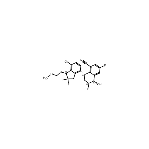 COCO[C@H]1c2c(Cl)ccc([C@H]3C[C@H](F)[C@H](O)c4cc(F)cc(C#N)c43)c2CC1(F)F